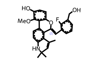 COc1c(O)ccc2c1-c1ccc3c(c1/C(=C/c1cccc(CO)c1F)O2)C(C)=CC(C)(C)N3